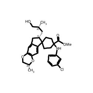 COC(=O)C1(Nc2cccc(Cl)c2)CCC2(CC1)c1cc3c(cc1C[C@@H]2C[C@@H](C)CO)OC[C@@H](C)O3